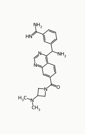 CN(C)C1CN(C(=O)c2ccc3c(C(N)c4cccc(C(=N)N)c4)ncnc3c2)C1